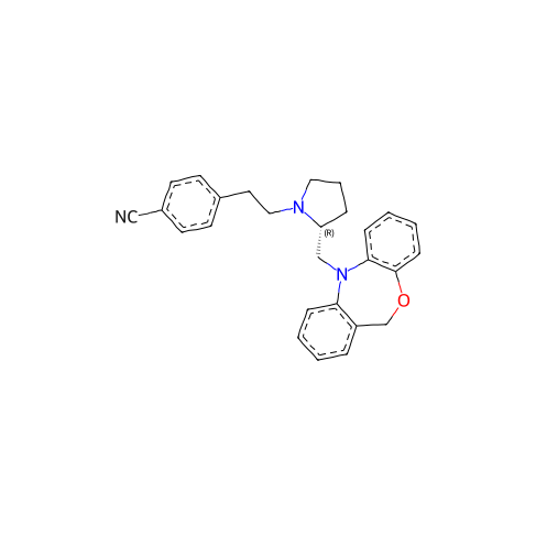 N#Cc1ccc(CCN2CCC[C@@H]2CN2c3ccccc3COc3ccccc32)cc1